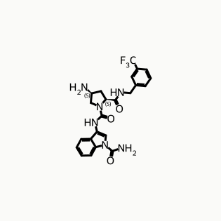 NC(=O)n1cc(NC(=O)N2C[C@@H](N)C[C@H]2C(=O)NCc2cccc(C(F)(F)F)c2)c2ccccc21